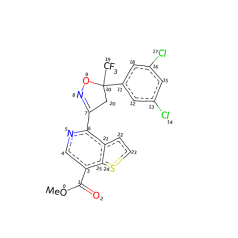 COC(=O)c1cnc(C2=NOC(c3cc(Cl)cc(Cl)c3)(C(F)(F)F)C2)c2ccsc12